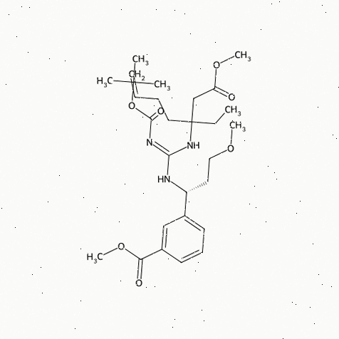 C=CCCC(CC)(CC(=O)OC)N/C(=N\C(=O)OC(C)(C)C)N[C@H](CCOC)c1cccc(C(=O)OC)c1